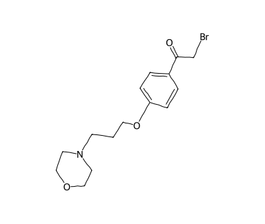 O=C(CBr)c1ccc(OCCCN2CCOCC2)cc1